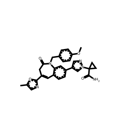 COc1ccc(CN2C(=O)CC(c3ncc(C)o3)=Cc3ccc(-c4cnn(C5(C(N)=O)CC5)c4)cc32)cc1